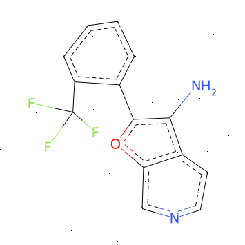 Nc1c(-c2ccccc2C(F)(F)F)oc2cnccc12